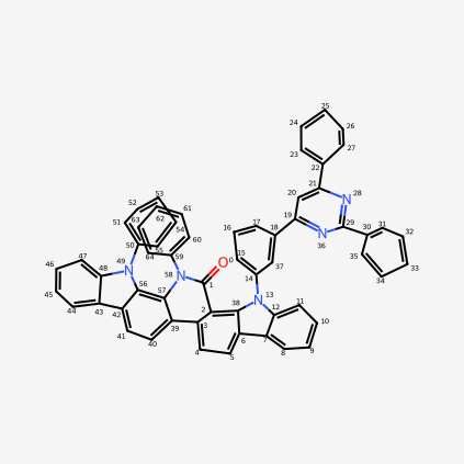 O=c1c2c(ccc3c4ccccc4n(-c4cccc(-c5cc(-c6ccccc6)nc(-c6ccccc6)n5)c4)c32)c2ccc3c4ccccc4n(-c4ccccc4)c3c2n1-c1ccccc1